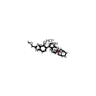 COCc1nc2ccc(-c3c[nH]c4nc(N5C6CCC5CC(N)C6)cnc34)c(Cl)c2s1.Cl